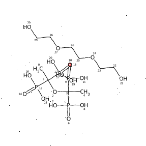 CC(OC(C)(P(=O)(O)O)P(=O)(O)O)(P(=O)(O)O)P(=O)(O)O.OCCOCCOCCO